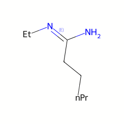 CCCCC/C(N)=N\CC